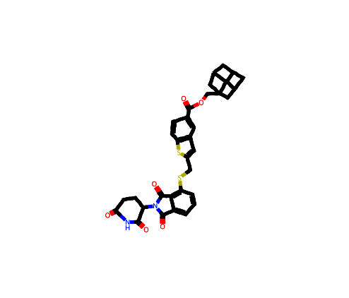 O=C1CCC(N2C(=O)c3cccc(SCc4cc5cc(C(=O)OCC67CC8CC9CC(C6)C987)ccc5s4)c3C2=O)C(=O)N1